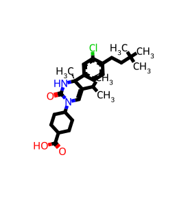 CC(C)C1=CN(C2CCC(C(=O)O)CC2)C(=O)N[C@@]1(C)c1ccc(CCC(C)(C)C)c(Cl)c1